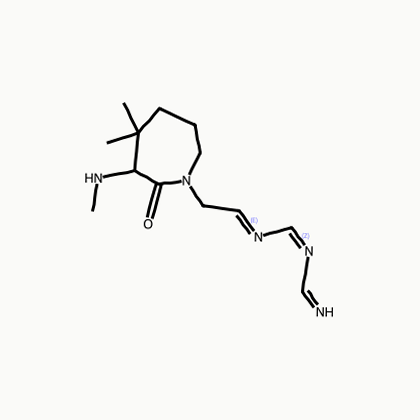 CNC1C(=O)N(C/C=N/C=N\C=N)CCCC1(C)C